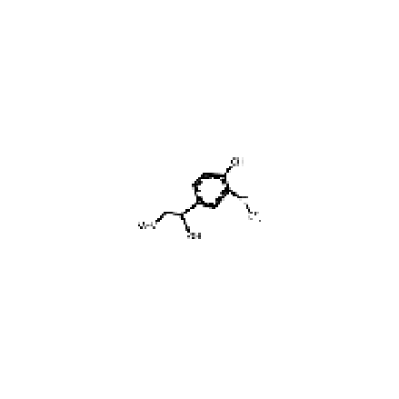 CNCC(O)c1ccc(O)c(OC(F)(F)F)c1